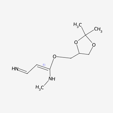 CN/C(=C\C=N)OCC1COC(C)(C)O1